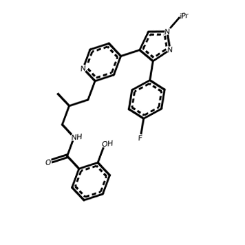 CC(CNC(=O)c1ccccc1O)Cc1cc(-c2cn(C(C)C)nc2-c2ccc(F)cc2)ccn1